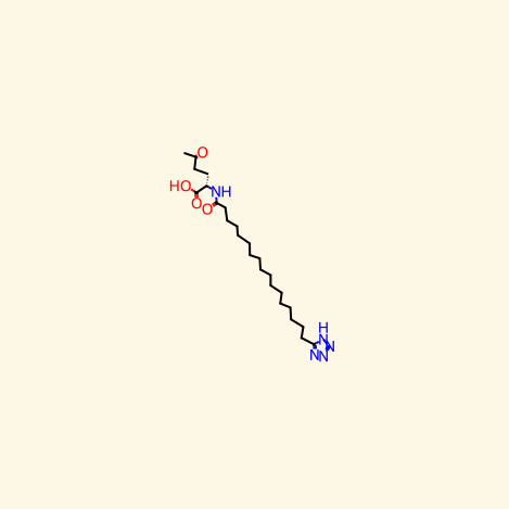 CC(=O)CC[C@H](NC(=O)CCCCCCCCCCCCCCCCc1nnn[nH]1)C(=O)O